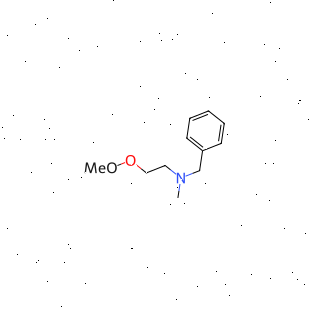 COOCCN(C)Cc1ccccc1